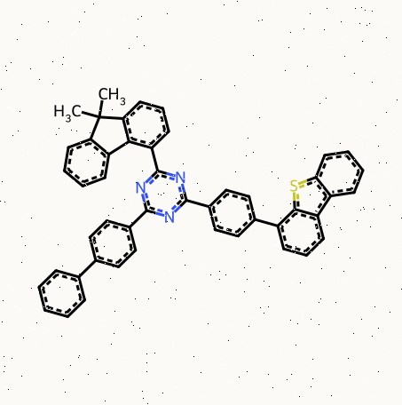 CC1(C)c2ccccc2-c2c(-c3nc(-c4ccc(-c5ccccc5)cc4)nc(-c4ccc(-c5cccc6c5sc5ccccc56)cc4)n3)cccc21